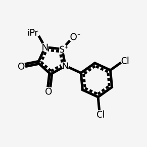 CC(C)n1c(=O)c(=O)n(-c2cc(Cl)cc(Cl)c2)[s+]1[O-]